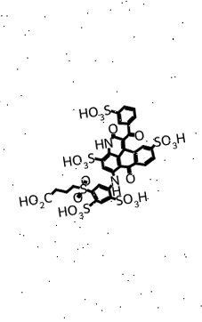 O=C(O)CCCS(=O)(=O)c1cc(Nc2cc(S(=O)(=O)O)c3[nH]c(=O)c(C(=O)c4cccc(S(=O)(=O)O)c4)c4c3c2C(=O)c2ccc(S(=O)(=O)O)cc2-4)c(S(=O)(=O)O)cc1S(=O)(=O)O